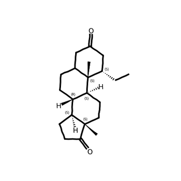 CC[C@H]1CC(=O)CC2CC[C@@H]3[C@H](CC[C@]4(C)C(=O)CC[C@@H]34)[C@]21C